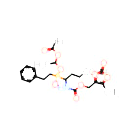 CCOC(=O)CCC(NC(=O)OCc1oc(=O)oc1C)P(=O)(CCc1ccccc1)OC(C)OC(=O)C(C)C